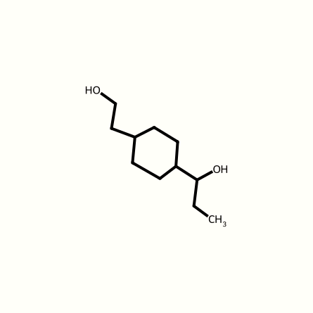 CCC(O)C1CCC(CCO)CC1